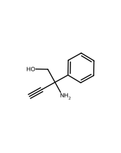 C#CC(N)(CO)c1ccccc1